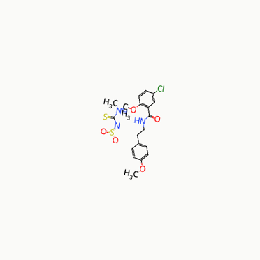 CNC(=S)N=S(=O)=O.COc1ccc(CCNC(=O)c2cc(Cl)ccc2OC)cc1